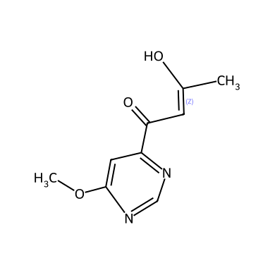 COc1cc(C(=O)/C=C(/C)O)ncn1